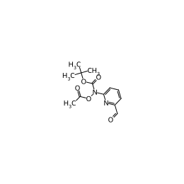 CC(=O)ON(C(=O)OC(C)(C)C)c1cccc(C=O)n1